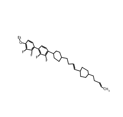 C/C=C/CCC1CCC(/C=C/CCC2CCC(c3ccc(-c4ccc(OCC)c(F)c4F)c(F)c3F)CC2)CC1